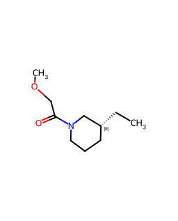 CC[C@@H]1CCCN(C(=O)COC)C1